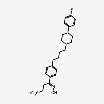 O=C(O)CCC(=NO)c1ccc(CCCCN2CCN(c3ccc(F)cc3)CC2)cc1